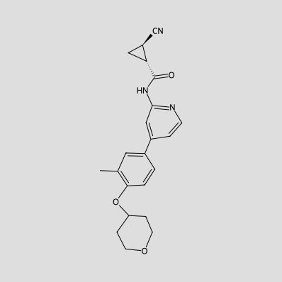 Cc1cc(-c2ccnc(NC(=O)[C@@H]3C[C@H]3C#N)c2)ccc1OC1CCOCC1